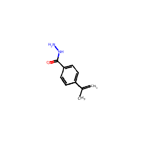 C=C(C)c1ccc(C(=O)NN)cc1